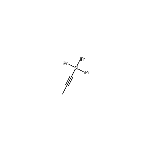 CC#C[Si](C(C)C)(C(C)C)C(C)C